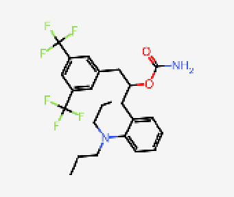 CCCN(CCC)c1ccccc1CC(Cc1cc(C(F)(F)F)cc(C(F)(F)F)c1)OC(N)=O